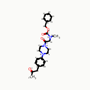 CC(=O)Cc1ccc(N2CCN(C(=O)CN(C)C(=O)OCc3ccccc3)CC2)cc1